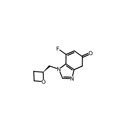 O=C1C=C(F)c2c(ncn2C[C@@H]2CCO2)C1